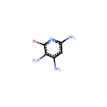 Nc1cc(N)c(N)c(Br)n1